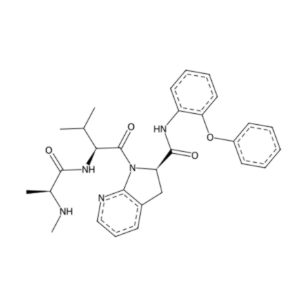 CN[C@@H](C)C(=O)N[C@H](C(=O)N1c2ncccc2C[C@@H]1C(=O)Nc1ccccc1Oc1ccccc1)C(C)C